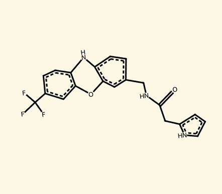 O=C(Cc1ccc[nH]1)NCc1ccc2c(c1)Oc1cc(C(F)(F)F)ccc1N2